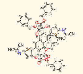 N#CC(C#N)=Nc1cc2c(s1)C1=CC3C=C4C(=CC3C=C1C(C(=O)OCc1ccccc1)(C(=O)OCc1ccccc1)O2)c1sc(N=C(C#N)C#N)cc1OC4(C(=O)OCc1ccccc1)C(=O)OCc1ccccc1